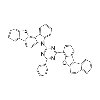 c1ccc(-c2nc(-c3cccc4c3oc3ccc5ccccc5c34)nc(-n3c4ccccc4c4c5sc6ccccc6c5ccc43)n2)cc1